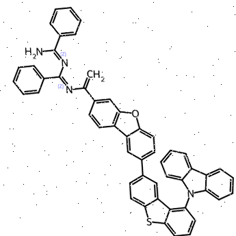 C=C(/N=C(\N=C(/N)c1ccccc1)c1ccccc1)c1ccc2c(c1)oc1ccc(-c3ccc4sc5cccc(-n6c7ccccc7c7ccccc76)c5c4c3)cc12